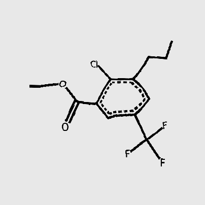 CCCc1cc(C(F)(F)F)cc(C(=O)OC)c1Cl